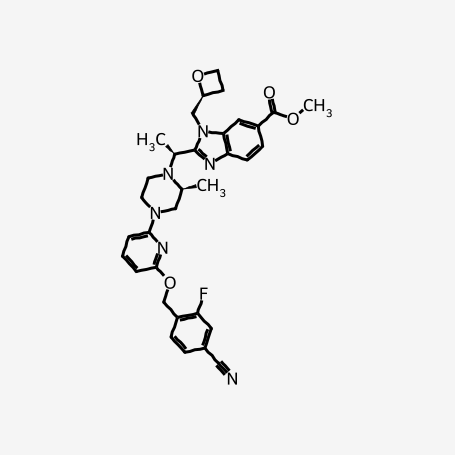 COC(=O)c1ccc2nc([C@H](C)N3CCN(c4cccc(OCc5ccc(C#N)cc5F)n4)C[C@@H]3C)n(C[C@@H]3CCO3)c2c1